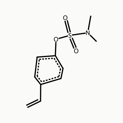 C=Cc1ccc(OS(=O)(=O)N(C)C)cc1